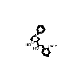 COc1ccccc1CC(O)C1CN(c2ccccc2)CCO1.Cl